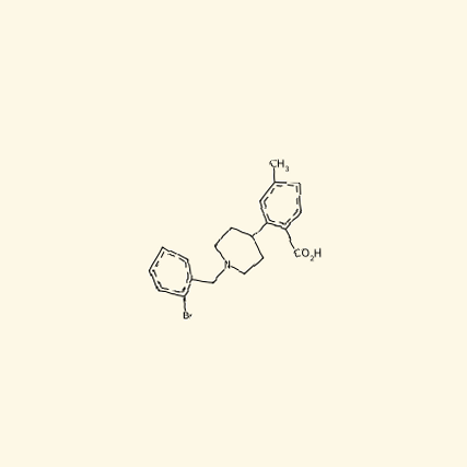 Cc1ccc(C(=O)O)c(C2CCN(Cc3ccccc3Br)CC2)c1